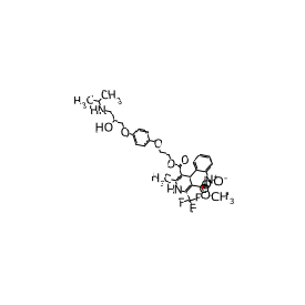 COC(=O)C1=C(C(F)(F)F)NC(C)=C(C(=O)OCCOc2ccc(OCC(O)CNC(C)C)cc2)C1c1ccccc1[N+](=O)[O-]